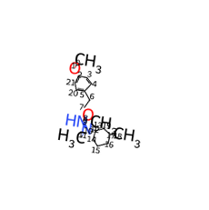 COc1ccc(CCONN(C)C2(C)CCCC(C)C2)cc1